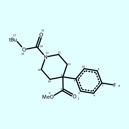 COC(=O)C1(c2ccc(F)cc2)CCN(C(=O)OC(C)(C)C)CC1